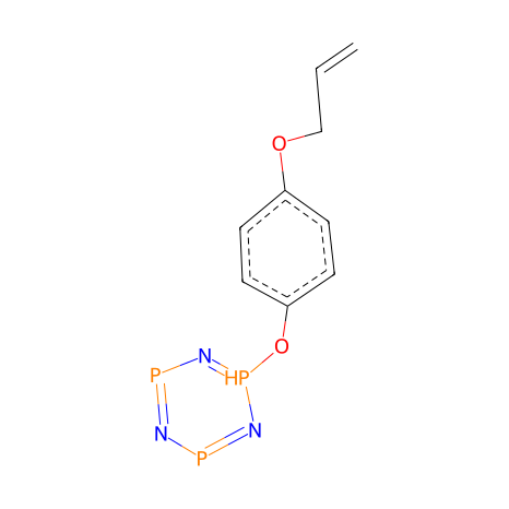 C=CCOc1ccc(O[PH]2=NP=NP=N2)cc1